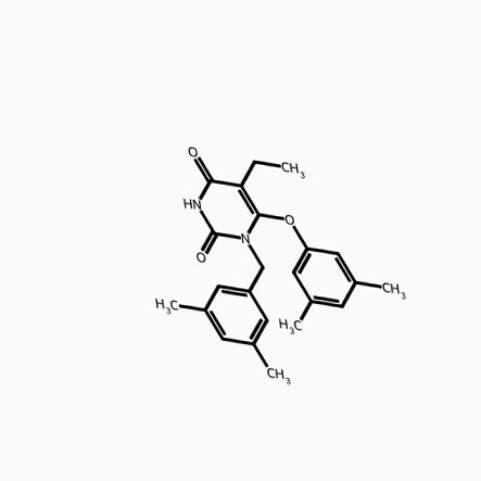 CCc1c(Oc2cc(C)cc(C)c2)n(Cc2cc(C)cc(C)c2)c(=O)[nH]c1=O